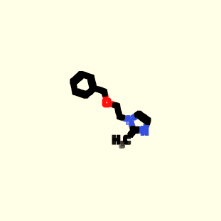 Cc1nccn1CCOCc1ccccc1